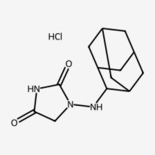 Cl.O=C1CN(NC2C3CC4CC(C3)CC2C4)C(=O)N1